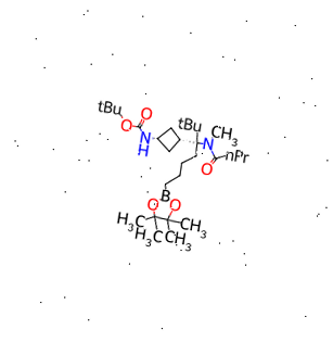 CCCC(=O)N(C)C(CCCCB1OC(C)(C)C(C)(C)O1)([C@H]1C[C@@H](NC(=O)OC(C)(C)C)C1)C(C)(C)C